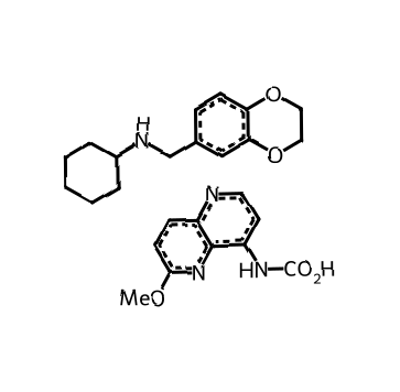 COc1ccc2nccc(NC(=O)O)c2n1.c1cc2c(cc1CNC1CCCCC1)OCCO2